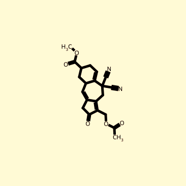 COC(=O)C1CC=C2C(C=C3CC(=O)C(COC(C)=O)=C3CC2(C#N)C#N)C1